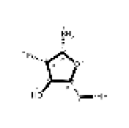 [2H]C[C@H]1O[C@@H](B)[C@@H](F)C1O